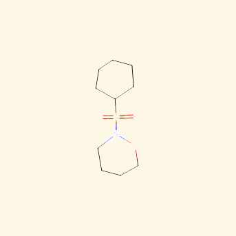 O=S(=O)(C1CCCCC1)N1CCCCO1